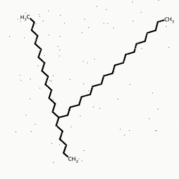 [CH2]CCCCCC(CCCCCCCCCCCCCCC)CCCCCCCCCCCCCCCCCCC